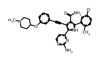 Cc1ccc(Cl)cc1-c1[nH]c(-c2ccnc(N)n2)c(C#Cc2cccc(OC3CCN(C)CC3)c2)c1C(N)=O